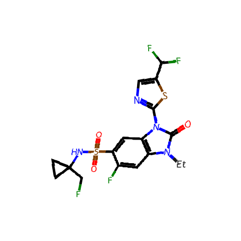 CCn1c(=O)n(-c2ncc(C(F)F)s2)c2cc(S(=O)(=O)NC3(CF)CC3)c(F)cc21